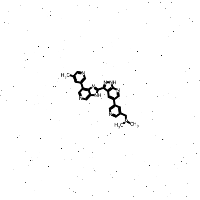 Cc1cncc(-c2cncc3[nH]c(-c4n[nH]c5ncc(-c6cncc(CN(C)C)c6)cc45)nc23)c1